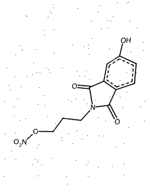 O=C1c2ccc(O)cc2C(=O)N1CCCO[N+](=O)[O-]